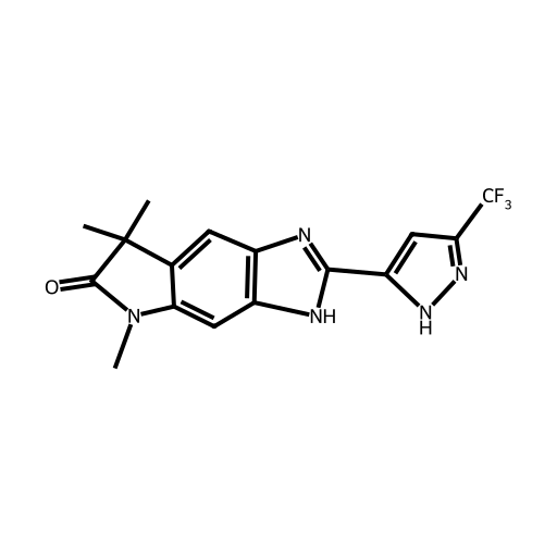 CN1C(=O)C(C)(C)c2cc3nc(-c4cc(C(F)(F)F)n[nH]4)[nH]c3cc21